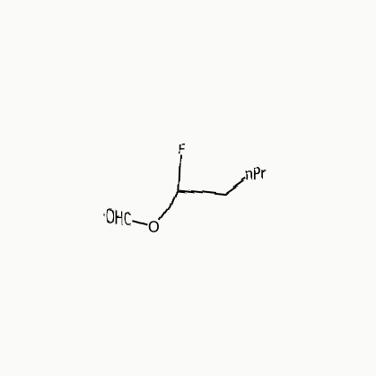 CCCCC(F)O[C]=O